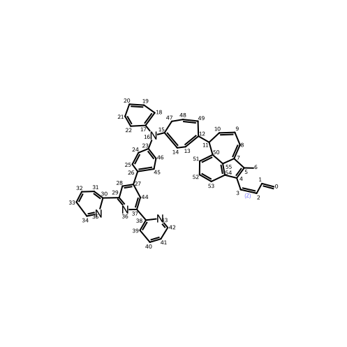 C=C/C=C\C1=C(C)C2=CC=CC(C3=CC=C(N(c4ccccc4)c4ccc(-c5cc(-c6ccccn6)nc(-c6ccccn6)c5)cc4)CC=C3)c3cccc1c32